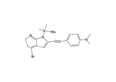 CN(C)c1ccc(C#Cc2cc3c(n2[Si](C)(C)C(C)(C)C)=NCCC=3Br)cc1